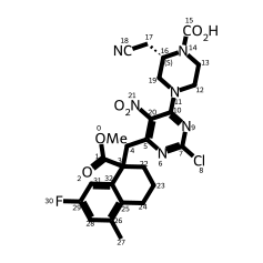 COC(=O)C1(Cc2nc(Cl)nc(N3CCN(C(=O)O)[C@@H](CC#N)C3)c2[N+](=O)[O-])CCCc2c(C)cc(F)cc21